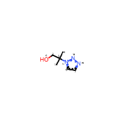 CC(C)(CO)n1ccnn1